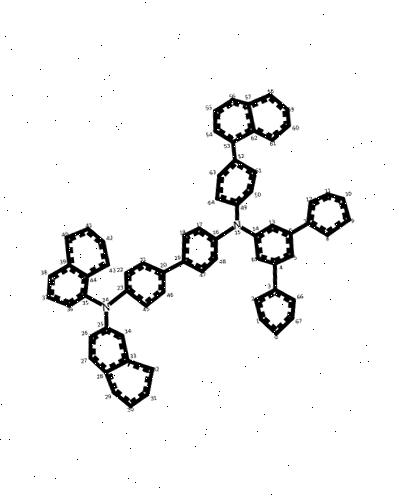 c1ccc(-c2cc(-c3ccccc3)cc(N(c3ccc(-c4ccc(N(c5ccc6ccccc6c5)c5cccc6ccccc56)cc4)cc3)c3ccc(-c4cccc5ccccc45)cc3)c2)cc1